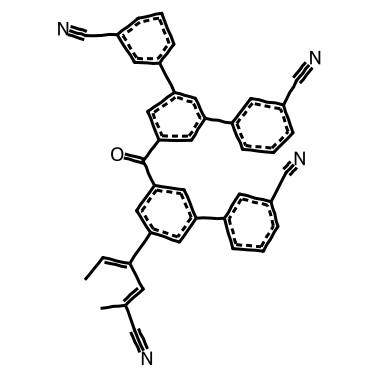 C/C=C(\C=C(/C)C#N)c1cc(C(=O)c2cc(-c3cccc(C#N)c3)cc(-c3cccc(C#N)c3)c2)cc(-c2cccc(C#N)c2)c1